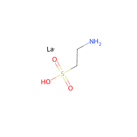 NCCS(=O)(=O)O.[La]